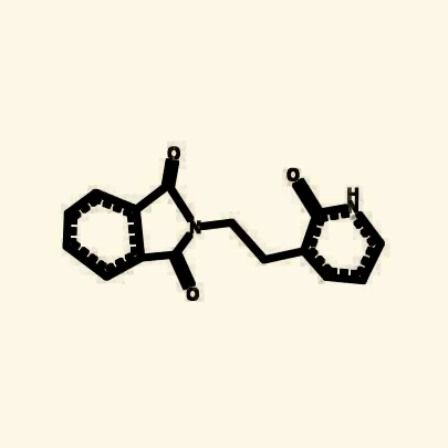 O=C1c2ccccc2C(=O)N1CCc1ccc[nH]c1=O